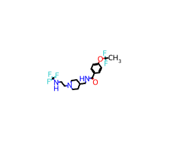 CC(F)(F)Oc1ccc(C(=O)NCC2CCN(CCNC(F)(F)F)CC2)cc1